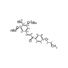 C=CCOc1ccc(C(=O)C=Cc2cc(OCCCC)c(C(C)(C)C)c(OCCCC)c2)cc1